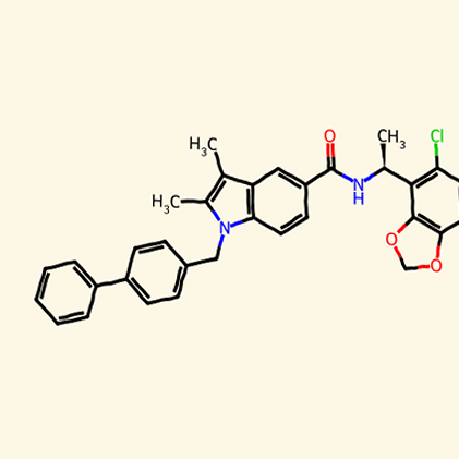 Cc1c(C)n(Cc2ccc(-c3ccccc3)cc2)c2ccc(C(=O)N[C@@H](C)c3c(Cl)ccc4c3OCO4)cc12